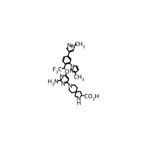 Cc1ccn(-c2cc(-c3cnn(C)c3)ccc2C(Oc2cc(N3CCC4(CC3)CN[C@H](C(=O)O)C4)nc(N)n2)C(F)(F)F)n1